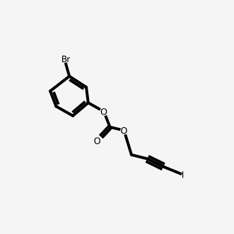 O=C(OCC#CI)Oc1cccc(Br)c1